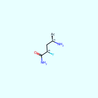 CC(=O)[C@@H](N)C[C@@H](F)C(N)=O